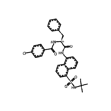 CC(C)(C)NS(=O)(=O)c1cccc2c(NC(=O)[C@H](Cc3ccccc3)NC(=O)c3ccc(Cl)cc3)cccc12